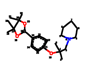 CC(C)(CN1CCCCC1)Oc1ccc(B2OC(C)(C)C(C)(C)O2)cc1